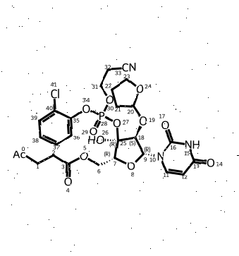 CC(=O)CCC(=O)OC[C@H]1O[C@@H](n2ccc(=O)[nH]c2=O)[C@H](OC2CCCO2)[C@]1(O)OP(=O)(OCCC#N)Oc1ccccc1Cl